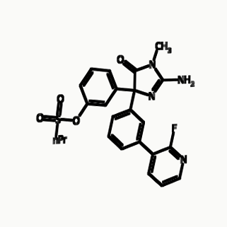 CCCS(=O)(=O)Oc1cccc(C2(c3cccc(-c4cccnc4F)c3)N=C(N)N(C)C2=O)c1